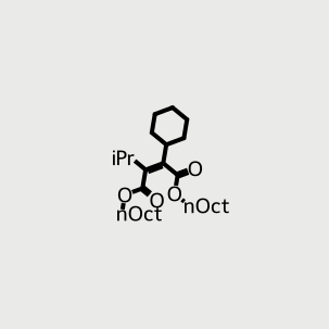 CCCCCCCCOC(=O)/C(=C(\C(=O)OCCCCCCCC)C1CCCCC1)C(C)C